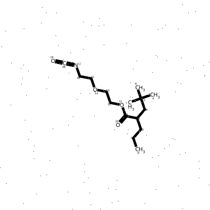 CCCC(CC(C)(C)C)C(=O)OCCOCCN=C=O